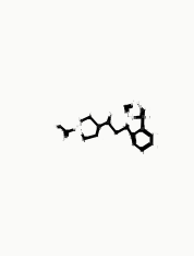 CCC(=O)N1CCC(C(O)CC2c3ccccc3-c3cncn32)CC1